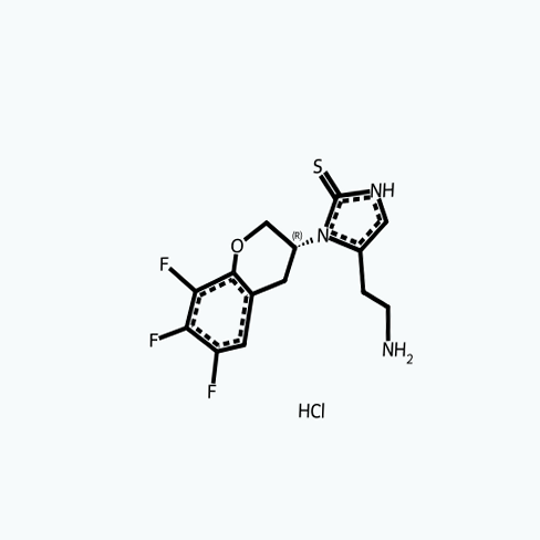 Cl.NCCc1c[nH]c(=S)n1[C@H]1COc2c(cc(F)c(F)c2F)C1